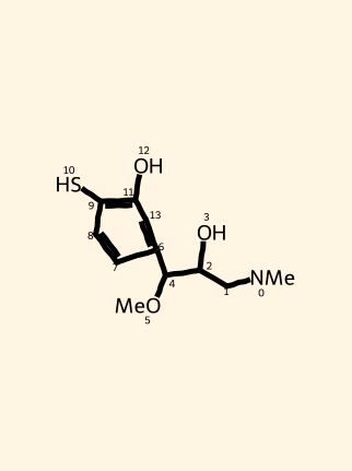 CNCC(O)C(OC)c1ccc(S)c(O)c1